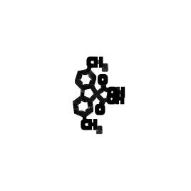 Cc1ccc2c(c1)C(C(=O)O)(C(=O)O)c1cc(C)ccc1-2